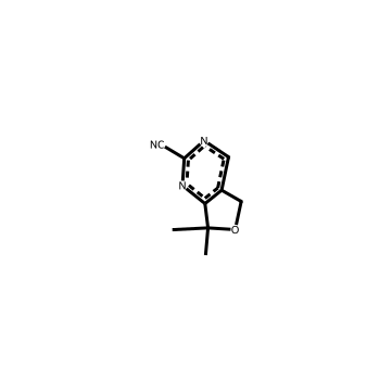 CC1(C)OCc2cnc(C#N)nc21